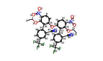 CCOc1c([N+](=O)[O-])ccc(Oc2ccc([N+](=O)[O-])c(OCC)c2-c2ccc(C(F)(F)F)cc2C#N)c1-c1ccc(C(F)(F)F)cc1C#N